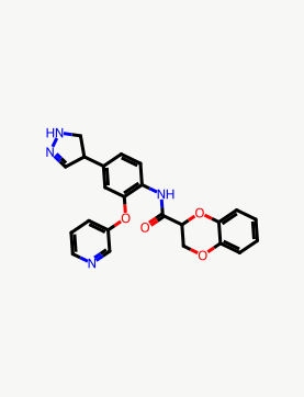 O=C(Nc1ccc(C2C=NNC2)cc1Oc1cccnc1)C1COc2ccccc2O1